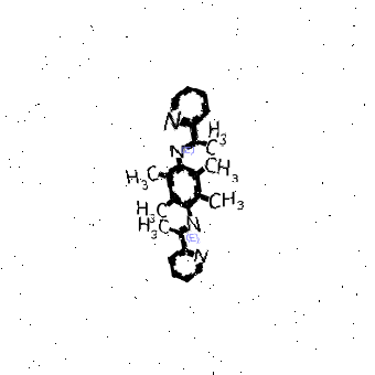 C/C(=N\c1c(C)c(C)c(/N=C(\C)c2ccccn2)c(C)c1C)c1ccccn1